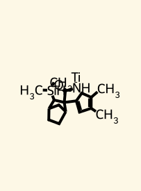 CC1=C(C)CC(C2(C(=O)[NH][Ti])C3CCC(C3)C2[SiH](C)C)=C1